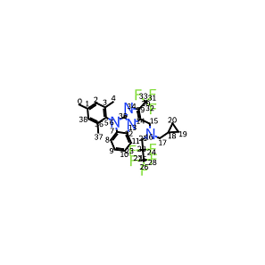 Cc1cc(C)c(-n2c3ccccc3n3c(CN(CC4CC4)CC(F)(F)C(F)(F)F)c(C(F)(F)F)nc23)c(C)c1